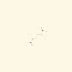 COC(=O)[CH](CC[CH](C(=O)OC)[Ge]([CH3])([CH3])[CH3])[Ge]([CH3])([CH3])[CH3]